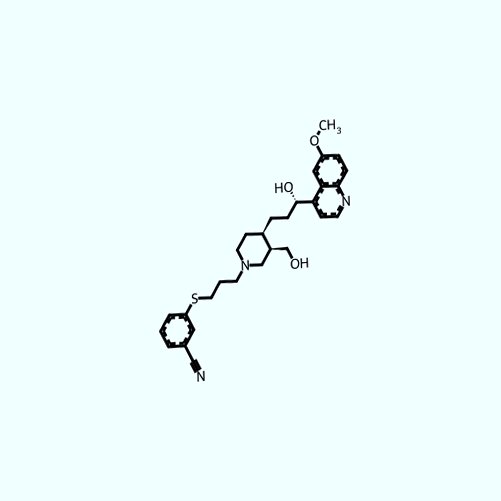 COc1ccc2nccc([C@@H](O)CC[C@@H]3CCN(CCCSc4cccc(C#N)c4)C[C@@H]3CO)c2c1